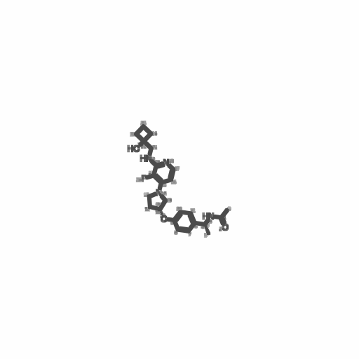 CC(=O)N[C@@H](C)c1ccc(O[C@@H]2CCN(c3ccnc(NCC4(O)CCC4)c3F)C2)cc1